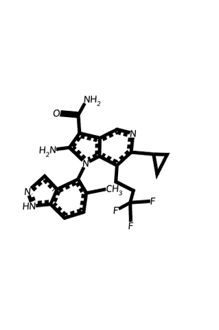 Cc1ccc2[nH]ncc2c1-n1c(N)c(C(N)=O)c2cnc(C3CC3)c(CCC(F)(F)F)c21